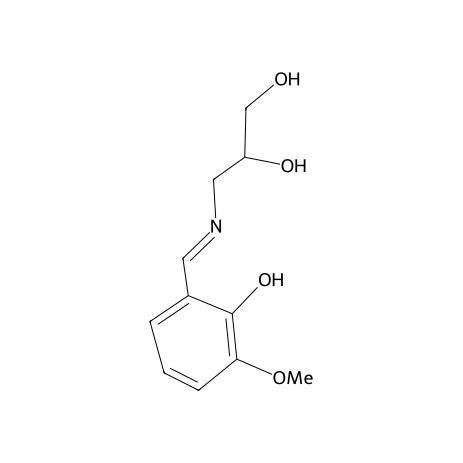 COc1cccc(C=NCC(O)CO)c1O